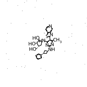 Cc1nc(N[C@H]2C[C@H](c3ccccc3)C2)nc(N[C@@H]2C[C@H](CO)[C@@H](O)[C@H]2O)c1-c1nc2cnccc2s1